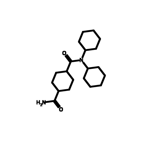 NC(=O)C1CCC(C(=O)N(C2CCCCC2)C2CCCCC2)CC1